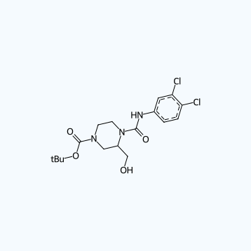 CC(C)(C)OC(=O)N1CCN(C(=O)Nc2ccc(Cl)c(Cl)c2)C(CO)C1